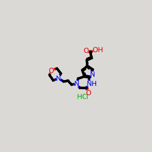 Cl.O=C(O)C=Cc1cnc2c(c1)CN(CCCN1CCOCC1)CC(=O)N2